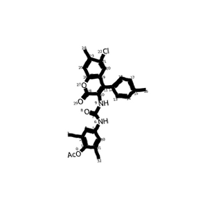 CC(=O)Oc1c(C)cc(NC(=O)Nc2c(-c3ccc(C)cc3)c3cc(Cl)c(C)cc3oc2=O)cc1C